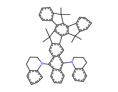 CC1(C)c2ccccc2-c2c1c1c(c3c2C(C)(C)c2cc4c(N5CCCc6ccccc65)c5ccccc5c(N5CCCc6ccccc65)c4cc2-3)C(C)(C)c2ccccc2-1